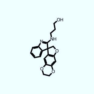 OCCCNC1=Nc2ccccc2C12COc1cc3c(cc12)OCCO3